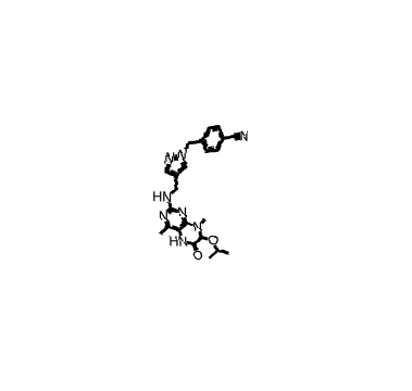 Cc1nc(NCc2cnn(Cc3ccc(C#N)cc3)c2)nc2c1NC(=O)C(OC(C)C)N2C